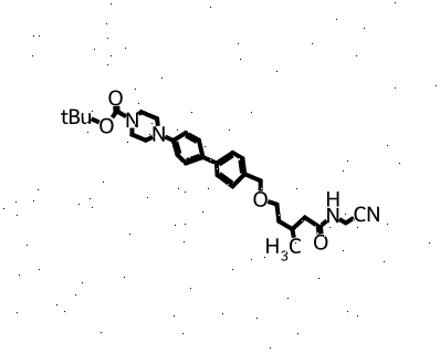 CC(CCOCc1ccc(-c2ccc(N3CCN(C(=O)OC(C)(C)C)CC3)cc2)cc1)CC(=O)NCC#N